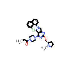 C=CC(=O)N1CCN(c2nc(OC[C@@H]3CCCN3C)nc3c2CN(c2cccc4cccc(Cl)c24)C3)CC1